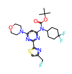 CC(C)(C)OC(=O)N(c1cc(N2CCOCC2)nc(-c2nc(CF)cs2)n1)C1CCC(F)(F)CC1